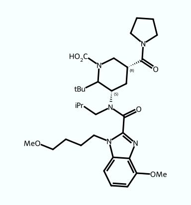 COCCCCn1c(C(=O)N(CC(C)C)[C@H]2C[C@@H](C(=O)N3CCCC3)CN(C(=O)O)C2C(C)(C)C)nc2c(OC)cccc21